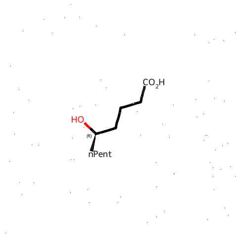 CCCCC[C@@H](O)CCCC(=O)O